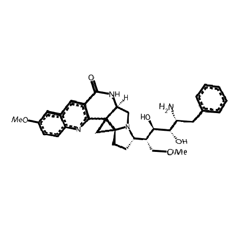 COC[C@@H]([C@@H](O)[C@@H](O)[C@H](N)Cc1ccccc1)[C@@H]1CC[C@@]23CC24c2nc5ccc(OC)cc5cc2C(=O)N[C@H]4CN13